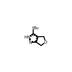 CC(C)(C)c1[nH]nc2c1COC2